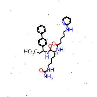 NC(=O)NCCCC[C@H](NC(=O)CCCCNc1ccccn1)C(=O)NC(CC(=O)O)c1ccc(-c2ccccc2)cc1